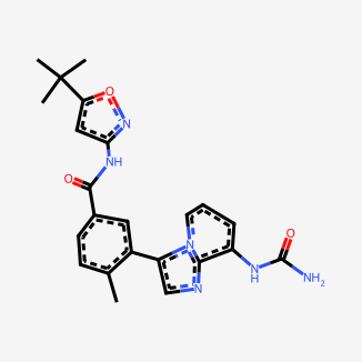 Cc1ccc(C(=O)Nc2cc(C(C)(C)C)on2)cc1-c1cnc2c(NC(N)=O)cccn12